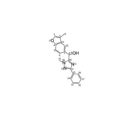 Cc1coc2ccc(C(O)c3nc(-c4ccccc4)nn3C)cc12